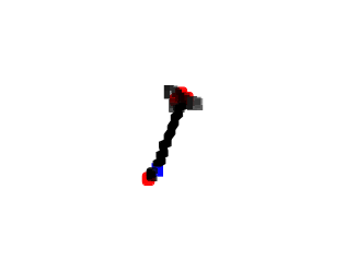 CCO[Si](CCCCCCCCCCCCCCN=C=O)(OCC)OCC